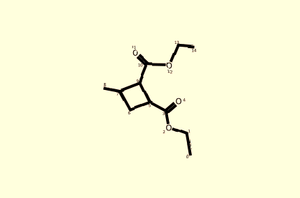 CCOC(=O)C1CC(C)C1C(=O)OCC